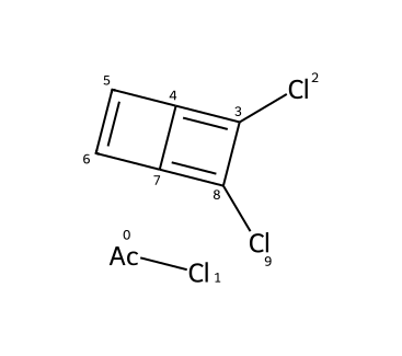 CC(=O)Cl.Clc1c2ccc-2c1Cl